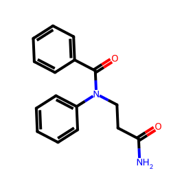 NC(=O)CCN(C(=O)c1ccccc1)c1ccccc1